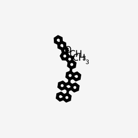 CC1(C)c2ccc(-c3ccc(-c4c5ccccc5c(-c5cccc6ccccc56)c5ccccc45)c4ccccc34)cc2-c2ccc3c(oc4cc5ccccc5cc43)c21